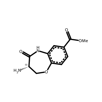 COC(=O)c1ccc2c(c1)NC(=O)[C@@H](N)CO2